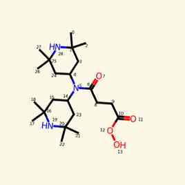 CC1(C)CC(N(C(=O)CCC(=O)OO)C2CC(C)(C)NC(C)(C)C2)CC(C)(C)N1